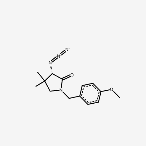 COc1ccc(CN2CC(C)(C)[C@H](N=[N+]=[N-])C2=O)cc1